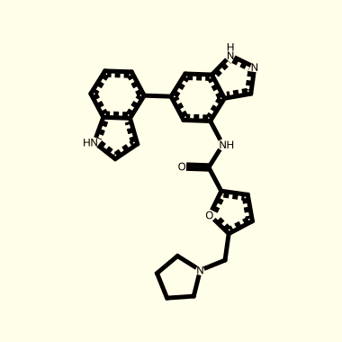 O=C(Nc1cc(-c2cccc3[nH]ccc23)cc2[nH]ncc12)c1ccc(CN2CCCC2)o1